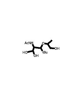 CC(=O)NC(C(O)O)C(OC(C)CO)C(C)(C)C